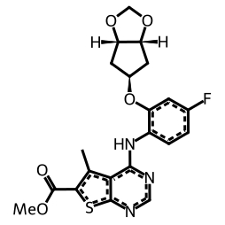 COC(=O)c1sc2ncnc(Nc3ccc(F)cc3O[C@H]3C[C@@H]4OCO[C@@H]4C3)c2c1C